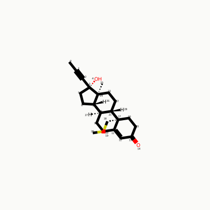 CC#C[C@]1(O)CC[C@H]2[C@@H]3CCC4=CC(=O)CC[C@]4(CSC)[C@H]3CC[C@@]21C